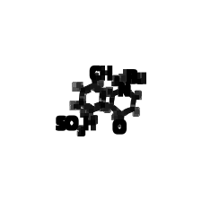 CCC(C)N1CCC(=O)CC1.Cc1ccc(S(=O)(=O)O)cc1